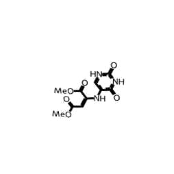 COC(=O)/C=C(/Nc1c[nH]c(=O)[nH]c1=O)C(=O)OC